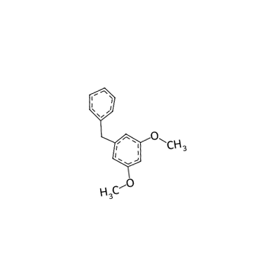 COc1cc(Cc2ccccc2)cc(OC)c1